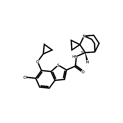 O=C(N[C@H]1C2CCN(CC2)C12CC2)c1cc2ccc(Cl)c(OC3CC3)c2s1